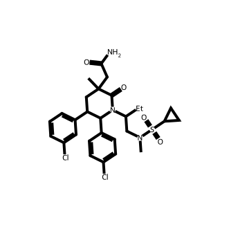 CCC(CN(C)S(=O)(=O)C1CC1)N1C(=O)C(C)(CC(N)=O)CC(c2cccc(Cl)c2)C1c1ccc(Cl)cc1